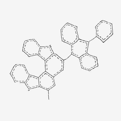 Cc1cc2cc(-c3c4ccccc4c(-c4ccccc4)c4ccccc34)c3sc4ccccc4c3c2c2c1sc1ccccc12